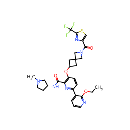 CCOc1ncccc1-c1ccc(OC2CC3(C2)CN(C(=O)c2csc(C(F)(F)F)n2)C3)c(C(=O)N[C@@H]2CCN(C)C2)n1